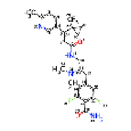 Cc1ccc([C@H](CC(=O)NC[C@H](Cc2cc(F)c(C(N)=O)c(F)c2)N(C)C)C2(C(F)(F)F)CC2)cn1